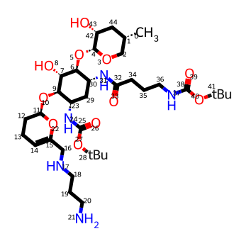 C[C@@H]1CO[C@H](O[C@@H]2[C@@H](O)[C@H](O[C@@H]3CCC=C(CNCCCN)O3)[C@@H](NC(=O)OC(C)(C)C)C[C@H]2NC(=O)CCCNC(=O)OC(C)(C)C)[C@H](O)C1